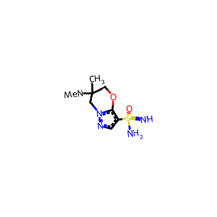 CNC1(C)COc2c(S(=N)(N)=O)cnn2C1